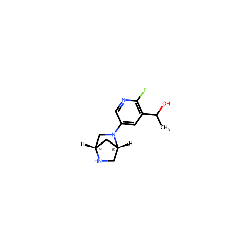 CC(O)c1cc(N2C[C@@H]3C[C@H]2CN3)cnc1F